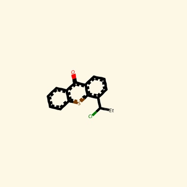 CCC(Cl)c1cccc2c(=O)c3ccccc3sc12